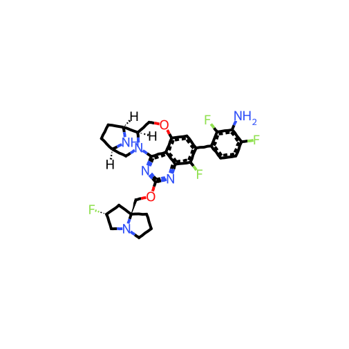 Nc1c(F)ccc(-c2cc3c4c(nc(OC[C@@]56CCCN5C[C@H](F)C6)nc4c2F)N2C[C@H]4CC[C@H](N4)[C@H]2CO3)c1F